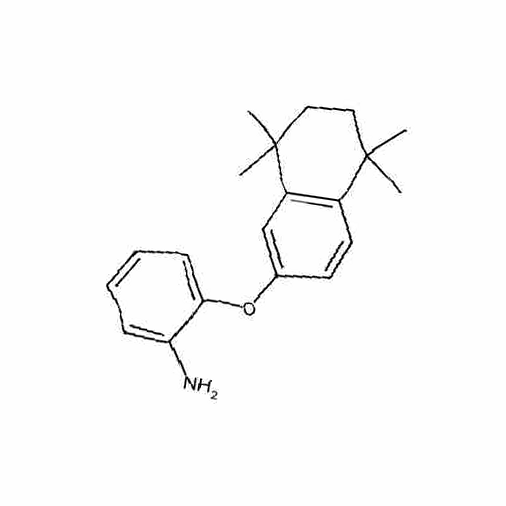 CC1(C)CCC(C)(C)c2cc(Oc3ccccc3N)ccc21